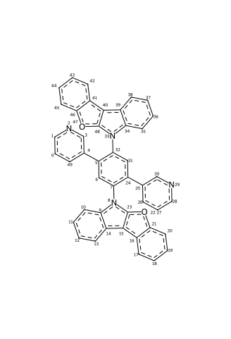 c1cncc(-c2cc(-n3c4ccccc4c4c5ccccc5oc43)c(-c3cccnc3)cc2-n2c3ccccc3c3c4ccccc4oc32)c1